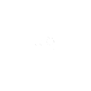 COC(=O)NC1(c2cc(C(F)(F)F)c(F)cn2)CC1